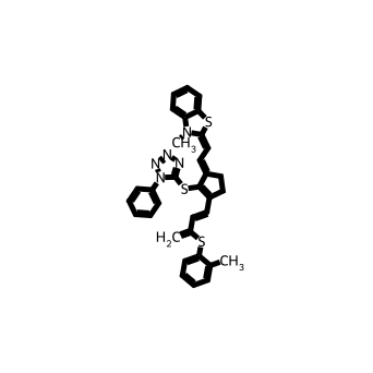 C=C(C=CC1=C(Sc2nnnn2-c2ccccc2)C(=CC=C2Sc3ccccc3N2C)CC1)Sc1ccccc1C